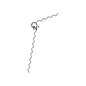 CCCCCCCCCCCCCCCCC[n+]1cccc(CCCCCCCCC)c1